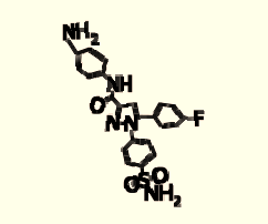 NCc1ccc(NC(=O)c2cc(-c3ccc(F)cc3)n(-c3ccc(S(N)(=O)=O)cc3)n2)cc1